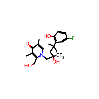 Cc1cn(CC(O)(CC(C)(C)c2cc(F)ccc2O)C(F)(F)F)c(CO)c(C)c1=O